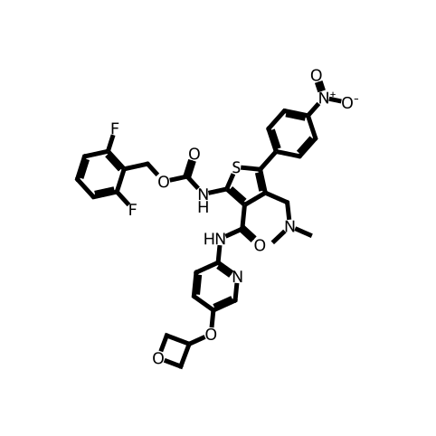 CN(C)Cc1c(-c2ccc([N+](=O)[O-])cc2)sc(NC(=O)OCc2c(F)cccc2F)c1C(=O)Nc1ccc(OC2COC2)cn1